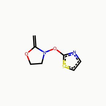 C=C1OCCN1Oc1nccs1